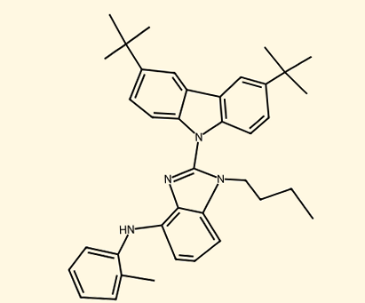 CCCCn1c(-n2c3ccc(C(C)(C)C)cc3c3cc(C(C)(C)C)ccc32)nc2c(Nc3ccccc3C)cccc21